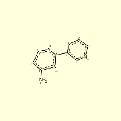 Nc1ccnc(-c2cnccn2)n1